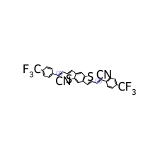 N#C/C(=C\c1cc2cc3sc(/C=C(\C#N)c4ccc(C(F)(F)F)cc4)cc3cc2s1)c1ccc(C(F)(F)F)cc1